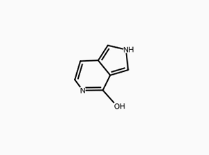 Oc1nccc2c[nH]cc12